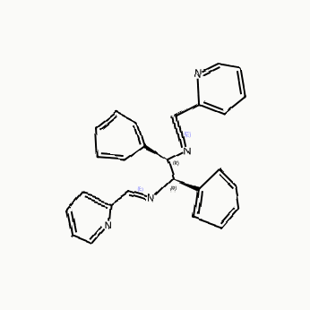 C(=N\[C@H](c1ccccc1)[C@H](/N=C/c1ccccn1)c1ccccc1)/c1ccccn1